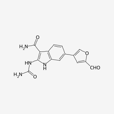 NC(=O)Nc1[nH]c2cc(-c3coc(C=O)c3)ccc2c1C(N)=O